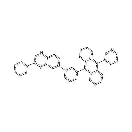 c1ccc(-c2cnc3ccc(-c4cccc(-c5c6ccccc6c(-c6cccnc6)c6ccccc56)c4)cc3n2)cc1